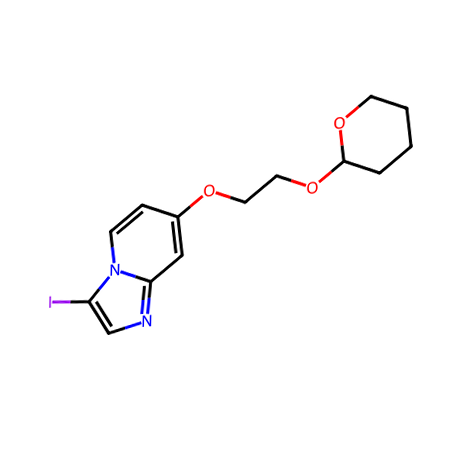 Ic1cnc2cc(OCCOC3CCCCO3)ccn12